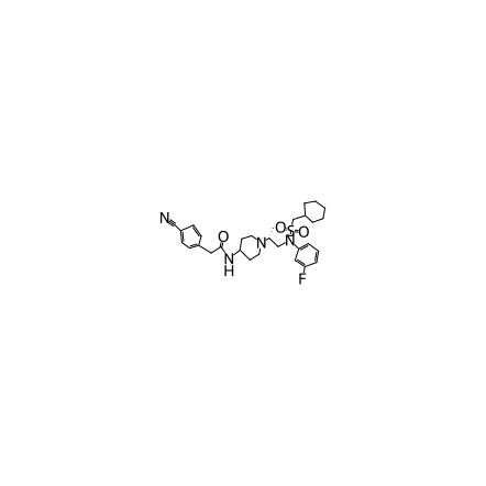 C[C@H](CN(c1cccc(F)c1)S(=O)(=O)CC1CCCCC1)N1CCC(NC(=O)Cc2ccc(C#N)cc2)CC1